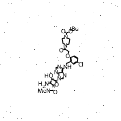 CNC(=O)[C@H]1O[C@@H](n2cnc3c(NCc4cc(Cl)ccc4OCC(=O)N4CCN(C(=O)OC(C)(C)C)CC4)ncnc32)[C@H](O)[C@@H]1N